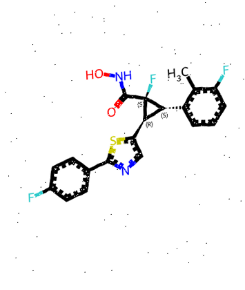 Cc1c(F)cccc1[C@@H]1[C@@H](c2cnc(-c3ccc(F)cc3)s2)[C@]1(F)C(=O)NO